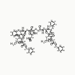 CC(C)CC(NC(=O)C(Cc1ccccc1)NC(=O)CNC(=O)CCC(NC(=O)CNBr)C(=O)NCC(=O)NC(Cc1ccccc1)C(=O)NC(CC(C)C)C(=O)NCC(=O)OCc1ccccc1)C(=O)NCC(=O)OCc1ccccc1